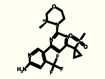 C[C@H]1COCCN1c1nc(-c2cnc(N)cc2C(F)(F)F)cc(C2(S(C)(=O)=O)CC2)n1